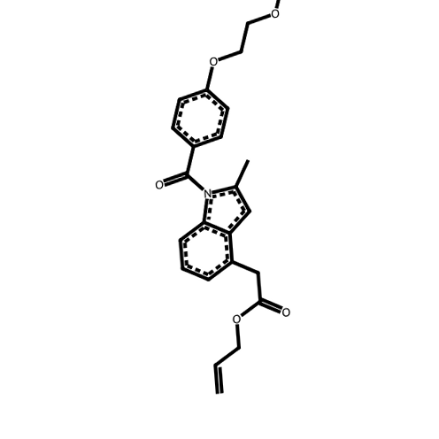 C=CCOC(=O)Cc1cccc2c1cc(C)n2C(=O)c1ccc(OCCOCCC)cc1